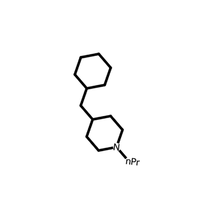 CCCN1CCC(CC2CCCCC2)CC1